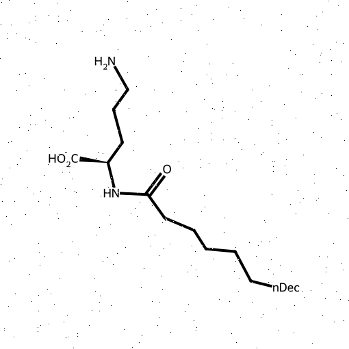 CCCCCCCCCCCCCCCC(=O)N[C@H](CCCN)C(=O)O